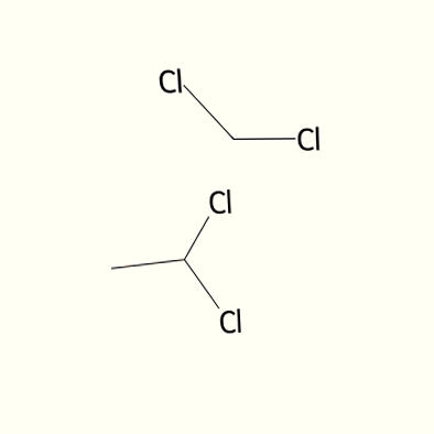 CC(Cl)Cl.ClCCl